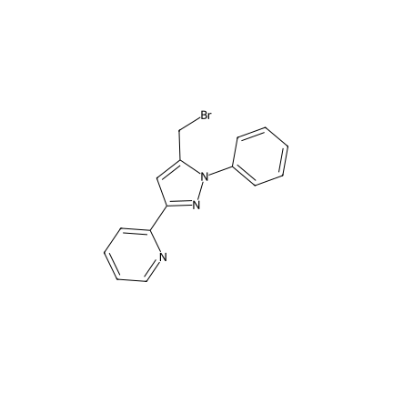 BrCc1cc(-c2ccccn2)nn1-c1ccccc1